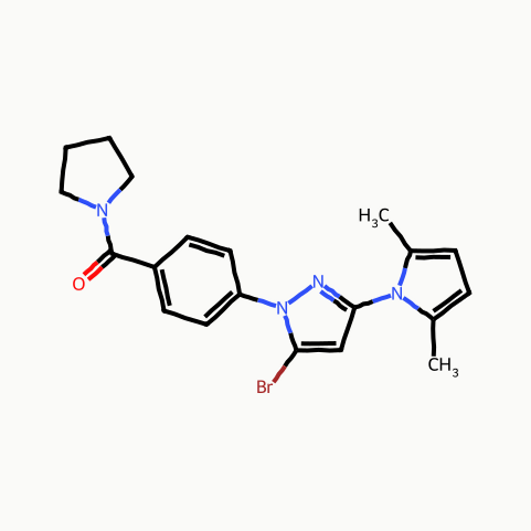 Cc1ccc(C)n1-c1cc(Br)n(-c2ccc(C(=O)N3CCCC3)cc2)n1